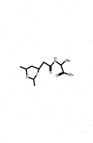 CC1CC(CC(=O)NC(C(=O)C(C)(C)C)C(C)(C)C)CC(C)O1